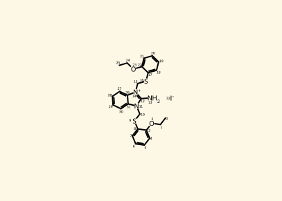 CCOc1ccccc1SCn1c(N)[n+](CSc2ccccc2OCC)c2ccccc21.[I-]